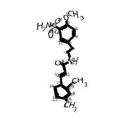 COc1ccc(CCNC(=O)C=Cc2ccc(C)cc2C)cc1S(N)(=O)=O